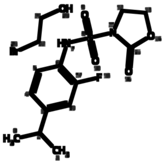 CC(C)c1ccc(NS(=O)(=O)N2CCOC2=O)c(F)c1.OCCBr